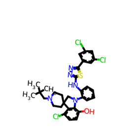 CC(C)(C)CN1CCC2(CC1)CN(c1ccccc1Nc1nnc(-c3cc(Cl)cc(Cl)c3)s1)c1c(O)ccc(Cl)c12